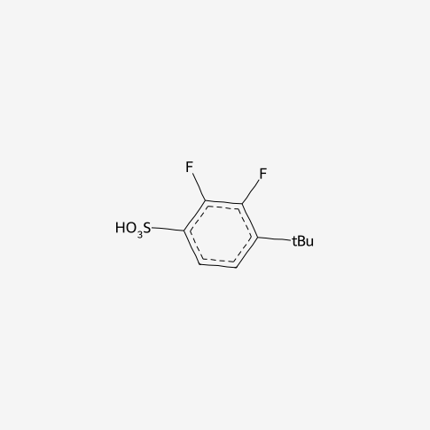 CC(C)(C)c1ccc(S(=O)(=O)O)c(F)c1F